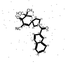 CC1(C)C[C@]2(C=C(C#N)C1=O)CCN(C(=O)c1ccc3ccccc3c1)C2